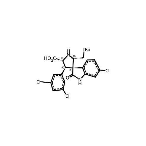 CC(C)(C)C[C@H]1N[C@@H](C(=O)O)[C@H](c2cc(Cl)cc(Cl)c2)[C@@]12C(=O)Nc1cc(Cl)ccc12